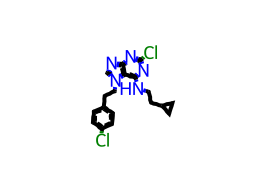 Clc1ccc(CCn2cnc3nc(Cl)nc(NCCC4CC4)c32)cc1